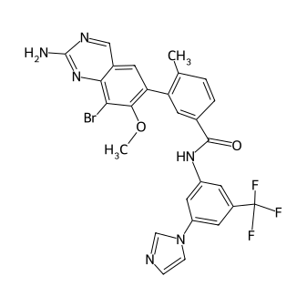 COc1c(-c2cc(C(=O)Nc3cc(-n4ccnc4)cc(C(F)(F)F)c3)ccc2C)cc2cnc(N)nc2c1Br